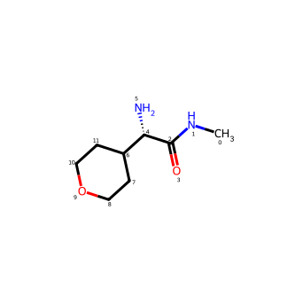 CNC(=O)[C@@H](N)C1CCOCC1